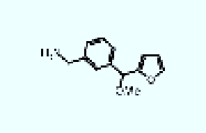 COC(c1cccc(CN)c1)c1ccco1